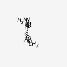 CCON=C1CCc2cc(OCCCCCN3CCN(c4ccnc(N)c4)S3(=O)=O)cc(F)c21